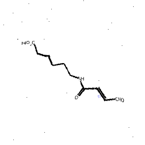 O=C/C=C/C(=O)NCCCCCC(=O)O